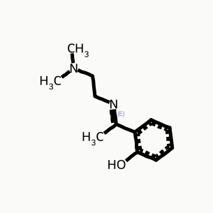 C/C(=N\CCN(C)C)c1ccccc1O